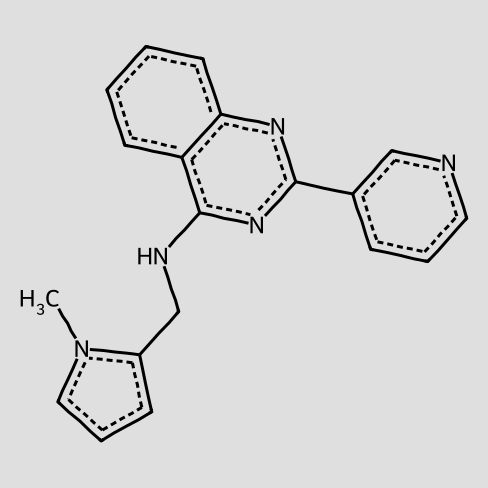 Cn1cccc1CNc1nc(-c2cccnc2)nc2ccccc12